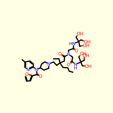 CCCCC(CC)(CCN1CCC(N(C(=O)c2ccco2)c2ccc(C)cn2)CC1)CC(=O)N(CC(=O)NC(CO)(CO)CO)CC(=O)NC(CO)(CO)CO